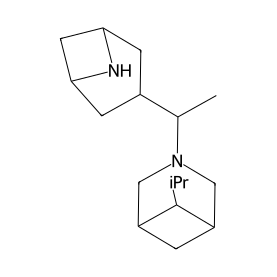 CC(C)C1C2CC1CN(C(C)C1CC3CC(C1)N3)C2